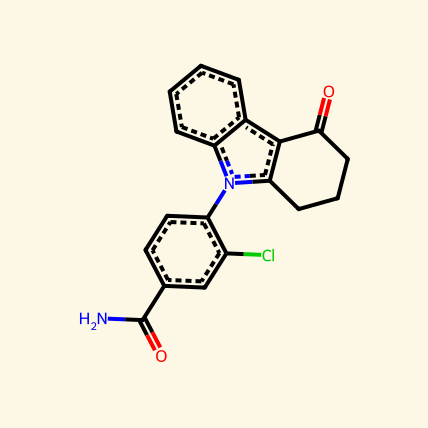 NC(=O)c1ccc(-n2c3c(c4ccccc42)C(=O)CCC3)c(Cl)c1